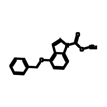 CC(C)(C)OC(=O)n1[c]cc2c(OCc3ccccc3)cccc21